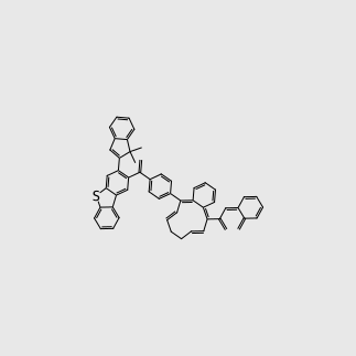 C=C(/C=c1/ccccc1=C)C1=c2\cccc\c2=C(c2ccc(C(=C)c3cc4c(cc3C3=Cc5ccccc5C3(C)C)sc3ccccc34)cc2)\C=C\CC\C=C\1